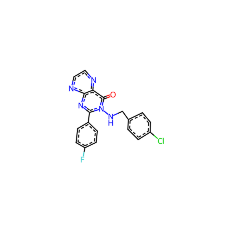 O=c1c2nccnc2nc(-c2ccc(F)cc2)n1NCc1ccc(Cl)cc1